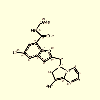 [2H]C1=C2N=CC=CN2N(Cc2cc3cc(Cl)cc(C(=O)NOC)c3o2)C1